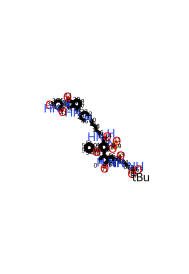 Cn1cc(-c2cc(NS(C)(=O)=O)c(C(=O)NCCCCCN3CCC(Nc4cccc5c4CN(C4CCC(=O)NC4=O)C5=O)CC3)cc2Oc2ccccc2)c2cc(C(=O)NCCNC(=O)OC(C)(C)C)[nH]c2c1=O